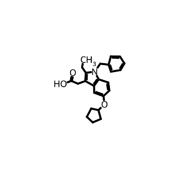 CCc1c(CC(=O)O)c2cc(OC3CCCC3)ccc2n1Cc1ccccc1